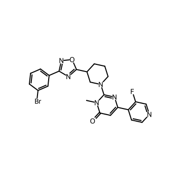 Cn1c(N2CCCC(c3nc(-c4cccc(Br)c4)no3)C2)nc(-c2ccncc2F)cc1=O